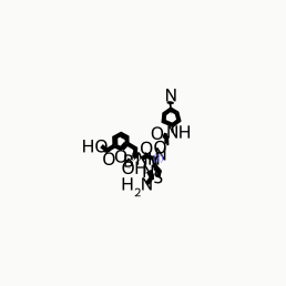 N#C[C@H]1CC[C@@H](NC(=O)CO/N=C(\C(=O)N[C@H]2Cc3cccc(C(=O)O)c3OB2O)c2csc(N)n2)CC1